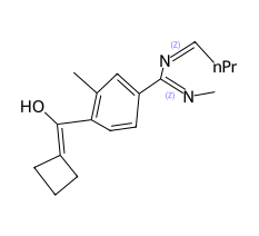 CCC/C=N\C(=N/C)c1ccc(C(O)=C2CCC2)c(C)c1